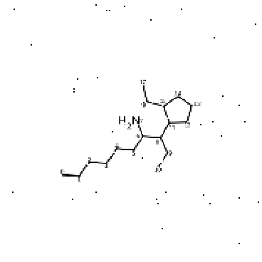 CCCCCCC(N)C(CC)C1CCCC1CC